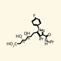 CCCNC(=O)c1nn(-c2ccc(F)cc2)c(CC[C@@H](O)C[C@@H](O)CC(=O)O)c1C(C)C